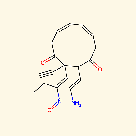 C#CC1(/C=C(\CC)N=O)C(=O)C/C=C\C=C/CC(=O)C1/C=C/N